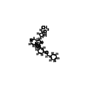 CCC1(O)CC(C2=C3C=NC=C[N+]3(N)C(c3cccc(OCc4ccccc4)c3)=N2)C1